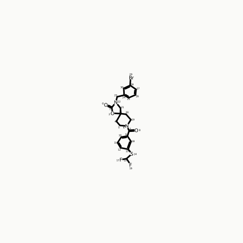 O=C1OC2(CCN(C(=O)c3cccc(SC(F)F)c3)CC2)CN1Cc1cccc(Br)c1